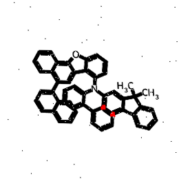 CC1(C)c2ccccc2-c2ccc(N(c3ccccc3-c3ccccc3)c3cccc4oc5c6ccccc6c(-c6cccc7ccccc67)cc5c34)cc21